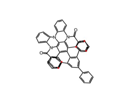 O=c1c2ccccc2c2c(-c3c(-c4ccccc4)cc(-c4ccccc4)cc3-c3ccccc3)c3c4ccccc4c(=O)n4c3c3c2n1-c1ccccc1N3c1ccccc1-4